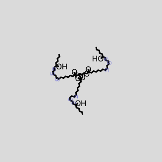 CCCCCC(O)/C=C/C=C\C/C=C\CCCCCCC(=O)OCC(COC(=O)CCCCCC/C=C\C/C=C\C=C\C(O)CCCCC)OC(=O)CCCCCC/C=C\C/C=C\C=C\C(O)CCCCC